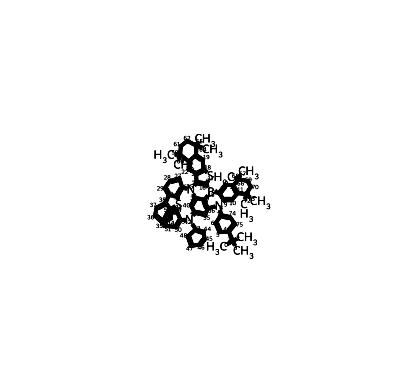 CC(C)(C)c1ccc(N2c3cc4c(cc3B3c5sc6cc7c(cc6c5N(c5cccc6c5sc5ccccc56)c5cc(N(c6ccccc6)c6ccccc6)cc2c53)C(C)(C)CCC7(C)C)C(C)(C)CCC4(C)C)cc1